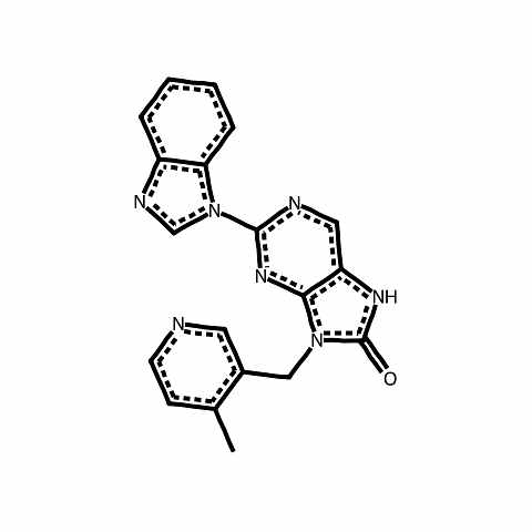 Cc1ccncc1Cn1c(=O)[nH]c2cnc(-n3cnc4ccccc43)nc21